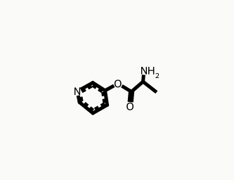 CC(N)C(=O)Oc1cccnc1